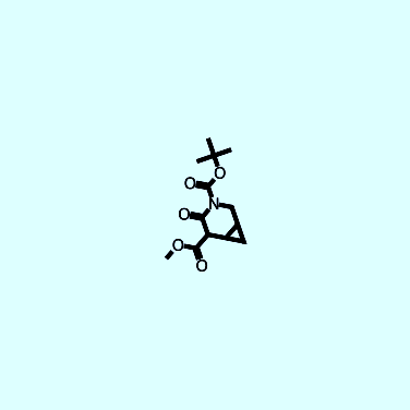 COC(=O)C1C(=O)N(C(=O)OC(C)(C)C)CC2CC21